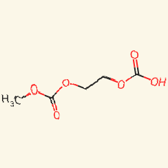 COC(=O)OCCOC(=O)O